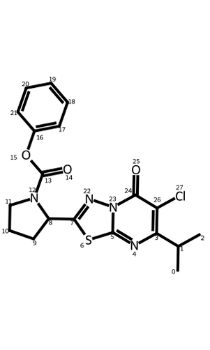 CC(C)c1nc2sc(C3CCCN3C(=O)Oc3ccccc3)nn2c(=O)c1Cl